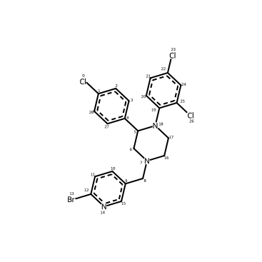 Clc1ccc(C2CN(Cc3ccc(Br)nc3)CCN2c2ccc(Cl)cc2Cl)cc1